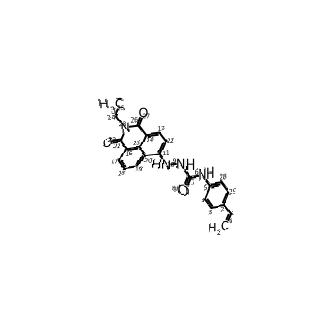 C=Cc1ccc(NC(=O)NNc2ccc3c4c(cccc24)C(=O)N(CC)C3=O)cc1